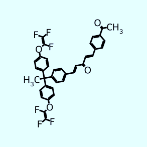 CC(=O)c1ccc(C=CC(=O)C=Cc2ccc(C(C)(c3ccc(OC(F)=C(F)F)cc3)c3ccc(OC(F)=C(F)F)cc3)cc2)cc1